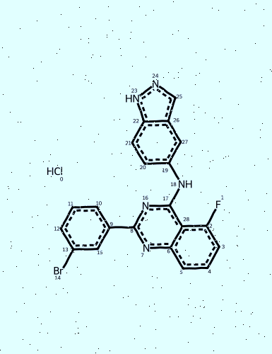 Cl.Fc1cccc2nc(-c3cccc(Br)c3)nc(Nc3ccc4[nH]ncc4c3)c12